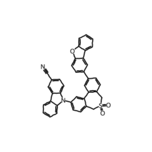 N#Cc1ccc2c(c1)c1ccccc1n2-c1ccc2c(c1)-c1cc(-c3ccc4oc5ccccc5c4c3)ccc1CS(=O)(=O)C2